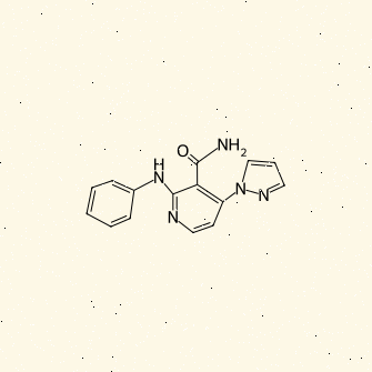 NC(=O)c1c(-n2cccn2)ccnc1Nc1ccccc1